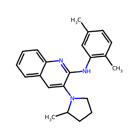 Cc1ccc(C)c(Nc2nc3ccccc3cc2N2CCCC2C)c1